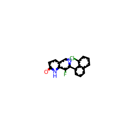 O=c1ccc2cnc(-c3cccc4cccc(Cl)c34)c(F)c2[nH]1